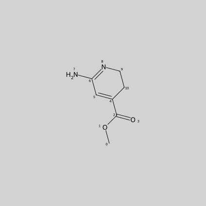 COC(=O)C1=CC(N)=NCC1